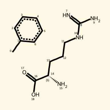 Cc1ccccc1.N=C(N)NCCC[C@H](N)C(=O)O